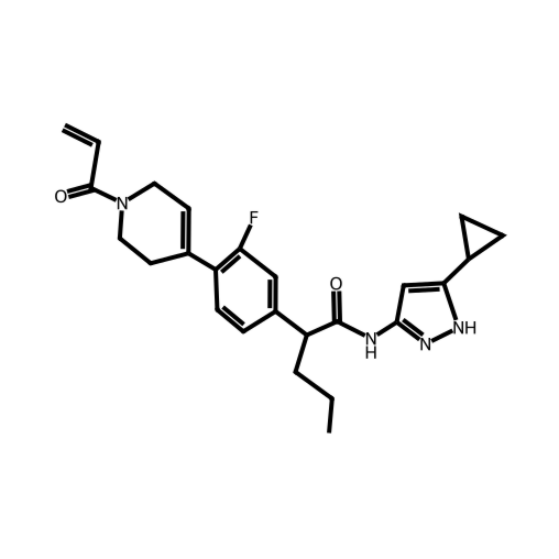 C=CC(=O)N1CC=C(c2ccc(C(CCC)C(=O)Nc3cc(C4CC4)[nH]n3)cc2F)CC1